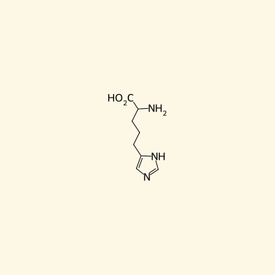 NC(CCCc1cnc[nH]1)C(=O)O